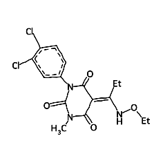 CCON/C(CC)=C1\C(=O)N(C)C(=O)N(c2ccc(Cl)c(Cl)c2)C1=O